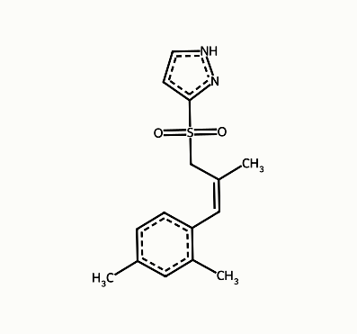 CC(=Cc1ccc(C)cc1C)CS(=O)(=O)c1cc[nH]n1